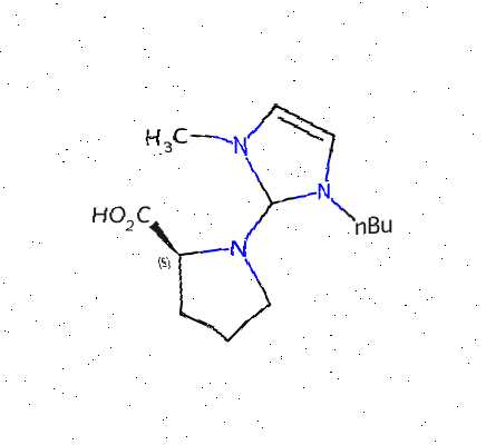 CCCCN1C=CN(C)C1N1CCC[C@H]1C(=O)O